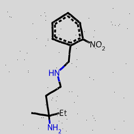 CCC(C)(N)CCNCc1ccccc1[N+](=O)[O-]